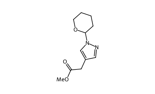 COC(=O)Cc1cnn(C2CCCCO2)c1